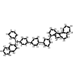 c1ccc(N(c2ccc(-c3ccc(-c4cccc(-c5cccc6c5sc5ccc7ccccc7c56)c4)cc3)cc2)c2ccc3ccccc3c2)cc1